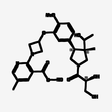 COc1ccc([C@@H]2CN(C(=O)[C@@H](O)CO)C[C@@]2(C)C(C)O)cc1OC1CN(c2ncc(C)cc2C(=O)ON=O)C1